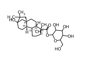 CC1(C)C[C@@]23CC[C@H]4[C@@](C)(CCC[C@@]4(C)C(=O)OC4OC(CO)C(O)C(O)C4O)[C@@H]2CCC1(O)C3